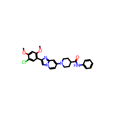 COc1cc(OC)c(-c2cn3ccc(N4CCC(C(=O)Nc5ccccc5)CC4)cc3n2)cc1Cl